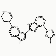 Fc1ccc(-c2nccc3[nH]c(-c4n[nH]c5ccc(C6C=CNCC6)nc45)nc23)s1